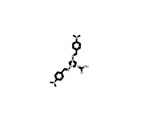 CN(C)c1ccc(C=Nn2cc[n+](N=Cc3ccc(N(C)C)cc3)c2)cc1.O=C([O-])O